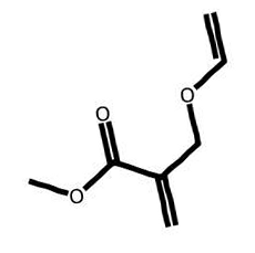 C=COCC(=C)C(=O)OC